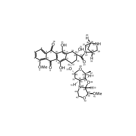 COc1cccc2c1C(=O)c1c(O)c3c(c(O)c1C2=O)C[C@@](O)(C(=O)N1C[C@H]2C[C@@H]1CN2)C[C@@H]3O[C@H]1C[C@H]2[C@H](O[C@@H]3[C@@H](OC)OCCN32)[C@H](C)O1